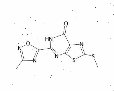 CSc1nc2c(=O)[nH]c(-c3nc(C)no3)nc2s1